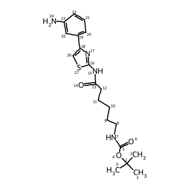 CC(C)(C)OC(=O)NCCCCCC(=O)Nc1nc(-c2cccc(N)c2)cs1